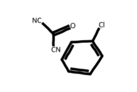 Clc1ccccc1.N#CC(=O)C#N